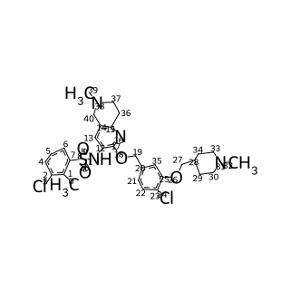 Cc1c(Cl)cccc1S(=O)(=O)Nc1cc2c(nc1OCc1ccc(Cl)c(OCC3CCN(C)CC3)c1)CCN(C)C2